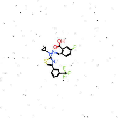 O=C(O)c1cc(F)ccc1/C=N/N(c1nc(-c2cccc(C(F)(F)F)c2)cs1)C1CC1